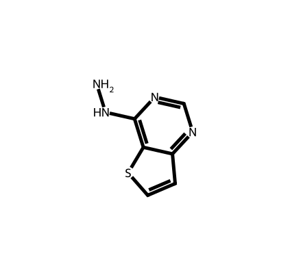 NNc1ncnc2ccsc12